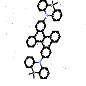 C[Si]1(C)c2ccccc2N(c2ccc3c4ccccc4c4c5cc(N6c7ccccc7[Si](C)(C)c7ccccc76)ccc5c5ccccc5c4c3c2)c2ccccc21